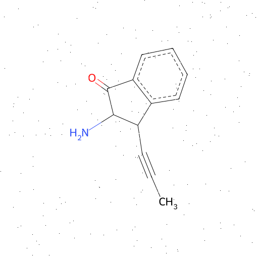 CC#CC1c2ccccc2C(=O)C1N